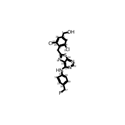 OCc1cc(Cl)c(Cc2nc3c(Nc4ccc(CF)cc4)ncnc3s2)c(Cl)c1